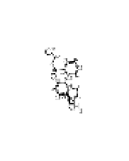 Cn1ccc2cc(OC(CCCl)c3ccccc3)ccc21